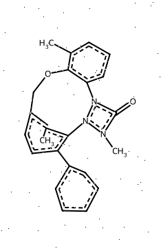 Cc1cccc2c1OCc1ccc(-c3ccccc3)c(c1C)-n1n(C)c(=O)n1-2